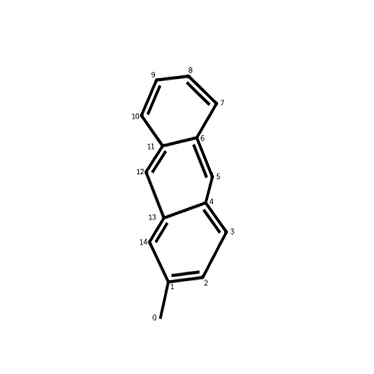 Cc1ccc2[c]c3ccccc3cc2c1